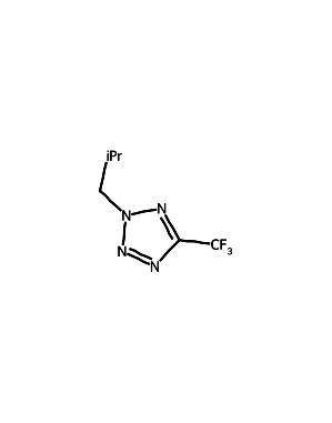 CC(C)Cn1nnc(C(F)(F)F)n1